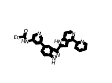 CCC(=O)Nc1cncc(-c2ccc3[nH]nc(-c4cc5c(-c6ccccn6)nccc5[nH]4)c3c2)c1